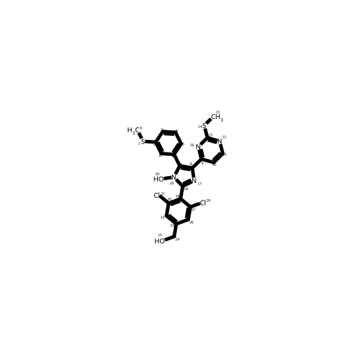 CSc1cccc(-c2c(-c3ccnc(SC)n3)nc(-c3c(Cl)cc(CO)cc3Cl)n2O)c1